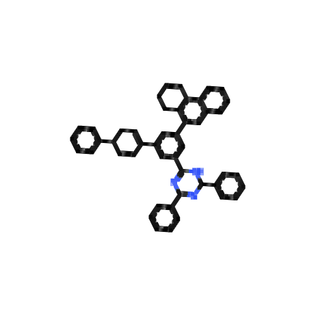 C1=Cc2c(c(-c3cc(C4=CCC(c5ccccc5)C=C4)cc(C4=NC(c5ccccc5)=NC(c5ccccc5)N4)c3)cc3ccccc23)CC1